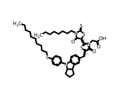 CCCCCCCCCCSc1ccc(N2c3ccc(/C=c4\s/c(=C5/SC(=S)N(CCCCCCCC)C5=O)n(CC(=O)O)c4=O)cc3C3CCCC32)cc1